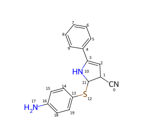 N#CC1C=C(c2ccccc2)NC1Sc1ccc(N)cc1